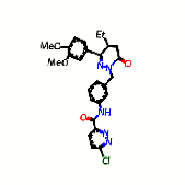 CCC1CC(=O)N(Cc2cccc(NC(=O)c3ccc(Cl)nn3)c2)N=C1c1ccc(OC)c(OC)c1